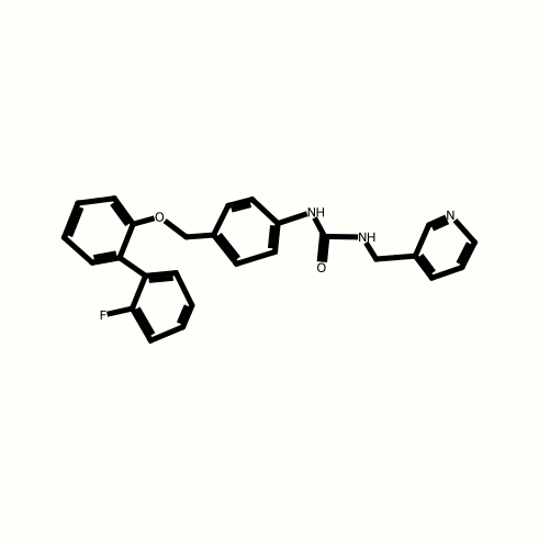 O=C(NCc1cccnc1)Nc1ccc(COc2ccccc2-c2ccccc2F)cc1